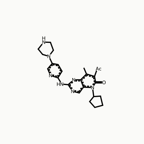 CC(=O)c1c(C)c2nc(Nc3ccc(N4CCNCC4)cn3)ncc2n(C2CCCC2)c1=O